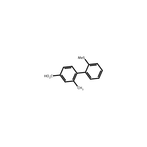 CSc1ccccc1-c1ccc(C(=O)O)cc1C